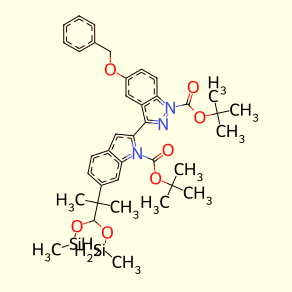 C[SiH2]OC(O[SiH2]C)C(C)(C)c1ccc2cc(-c3nn(C(=O)OC(C)(C)C)c4ccc(OCc5ccccc5)cc34)n(C(=O)OC(C)(C)C)c2c1